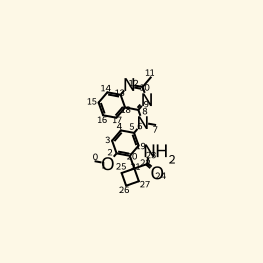 COc1ccc(N(C)c2nc(C)nc3ccccc23)cc1C1(C(N)=O)CCC1